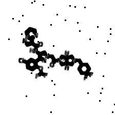 O=C(Nc1cn(CC(=O)N2C[C@H]3CN(CC4CCC(F)(F)CC4)C[C@H]3C2)nc1-c1cc(Cl)ccc1OC(F)F)c1cnn2cccnc12